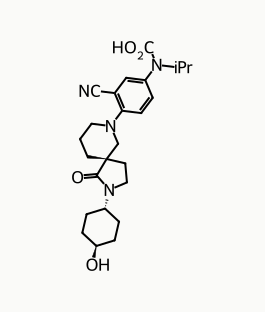 CC(C)N(C(=O)O)c1ccc(N2CCC[C@]3(CCN([C@H]4CC[C@H](O)CC4)C3=O)C2)c(C#N)c1